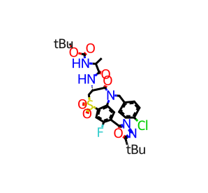 CC(NC(=O)OC(C)(C)C)C(=O)N[C@H]1CS(=O)(=O)c2cc(F)c(-c3nnc(C(C)(C)C)o3)cc2N(Cc2ccc(Cl)cc2)C1=O